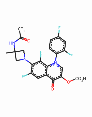 CC1(NC(=O)C(F)(F)F)CN(c2c(F)cc3c(=O)c(OC(=O)O)cn(-c4ccc(F)cc4F)c3c2F)C1